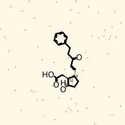 O=C(O)C[C@@H]1[C@H](O)CC[C@H]1C=CC(=O)CCc1ccccc1